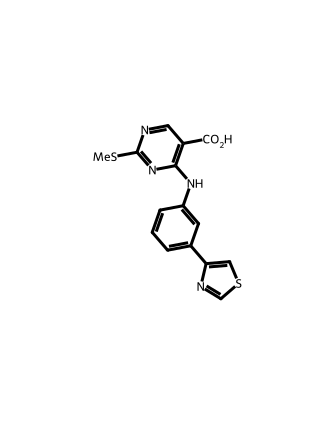 CSc1ncc(C(=O)O)c(Nc2cccc(-c3cscn3)c2)n1